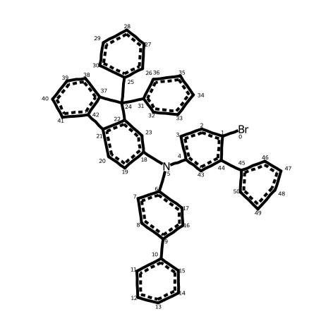 Brc1ccc(N(c2ccc(-c3ccccc3)cc2)c2ccc3c(c2)C(c2ccccc2)(c2ccccc2)c2ccccc2-3)cc1-c1ccccc1